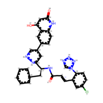 O=C(/C=C/c1cc(Cl)ccc1-n1cnnn1)N[C@@H](Cc1ccccc1)c1cc(-c2ccc3[nH]c(=O)cc(O)c3c2)cnn1